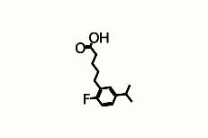 CC(C)c1ccc(F)c(CCCCC(=O)O)c1